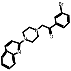 O=C(CN1CCN(c2ccc3ccccc3n2)CC1)c1cccc(Br)c1